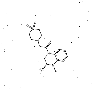 CC(=O)N1c2ccccc2N(C(=O)CN2CCS(=O)(=O)CC2)C[C@@H]1C